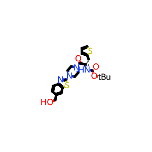 CC(C)(C)OC(=O)N[C@@H](Cc1cccs1)C(=O)N1CCN(c2nc3ccc(CO)cc3s2)CC1